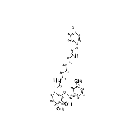 Cc1ccc(CCNCCCCCCNCCc2ccc(O)c(O)c2CCc2cccc(O)c2)cc1